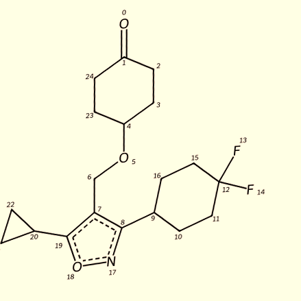 O=C1CCC(OCc2c(C3CCC(F)(F)CC3)noc2C2CC2)CC1